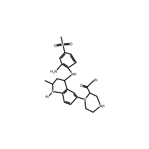 CC(=O)N1c2ccc(N3CCNCC3C(=O)C(C)C)cc2C(Nc2ccc(S(C)(=O)=O)cc2N)CC1C